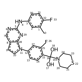 Cc1cc(Nc2ncc3ccn(-c4ccc(C(O)(O)N5CCSCC5)c(F)c4)c3n2)ccc1F